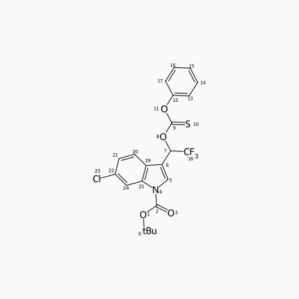 CC(C)(C)OC(=O)n1cc(C(OC(=S)Oc2ccccc2)C(F)(F)F)c2ccc(Cl)cc21